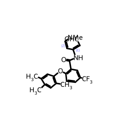 CN/C=C\C(=C/C=O)NC(=O)c1cc(C(F)(F)F)ccc1Oc1cc(C)c(C)cc1C